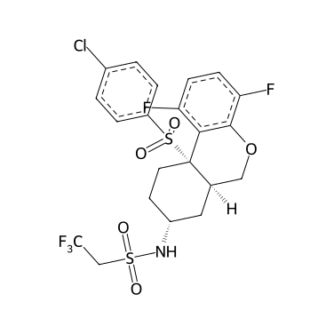 O=S(=O)(CC(F)(F)F)N[C@@H]1CC[C@@]2(S(=O)(=O)c3ccc(Cl)cc3)c3c(F)ccc(F)c3OC[C@H]2C1